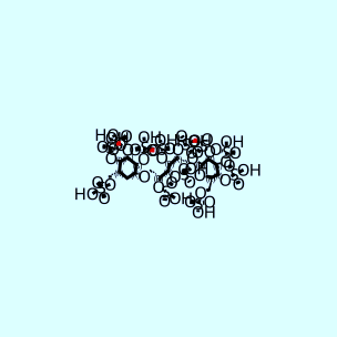 O=S(=O)(O)OC[C@H]1C[C@@H](OC[C@@H](OS(=O)(=O)O)[C@@H](OS(=O)(=O)O)[C@H](OS(=O)(=O)O)[C@@H](CO[C@@H]2O[C@H](COS(=O)(=O)O)[C@@H](OS(=O)(=O)O)[C@H](OS(=O)(=O)O)[C@H]2OS(=O)(=O)O)OS(=O)(=O)O)[C@H](OS(=O)(=O)O)[C@@H](OS(=O)(=O)O)[C@@H]1OS(=O)(=O)O